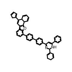 C1=CCC(C2=Cc3c(oc4c(-c5ccc(-c6ccc(C7=NC(C8=CCCC=C8)NC(c8ccccc8)=C7)cc6)cc5)cccc34)C3C=CC=CC23)=C1